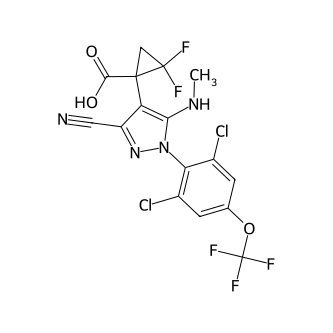 CNc1c(C2(C(=O)O)CC2(F)F)c(C#N)nn1-c1c(Cl)cc(OC(F)(F)F)cc1Cl